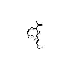 C=C(C)C(=O)OCC=CO.C=CC(=O)O